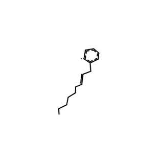 CCCCCCC=CCc1[c]cccc1